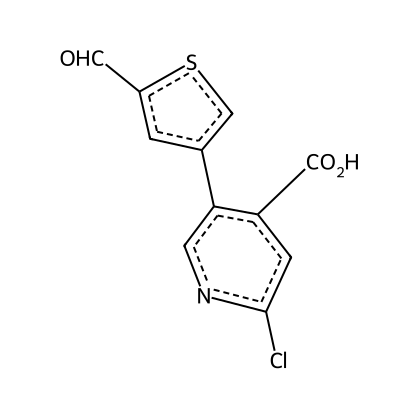 O=Cc1cc(-c2cnc(Cl)cc2C(=O)O)cs1